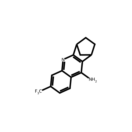 Nc1c2c(nc3cc(C(F)(F)F)ccc13)C1CCC2C1